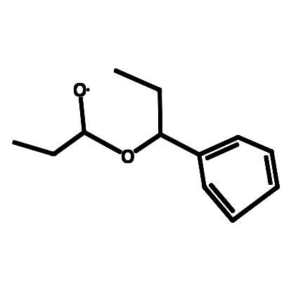 CCC([O])OC(CC)c1ccccc1